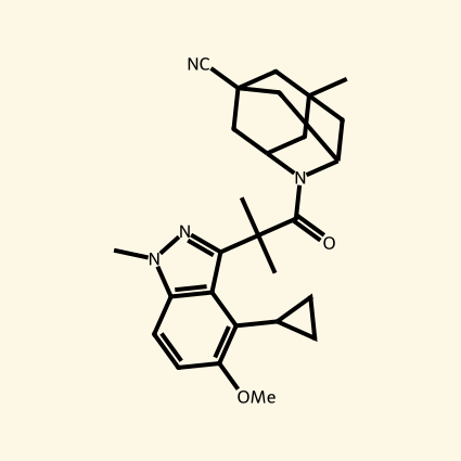 COc1ccc2c(c(C(C)(C)C(=O)N3C4CC5(C)CC3CC(C#N)(C4)C5)nn2C)c1C1CC1